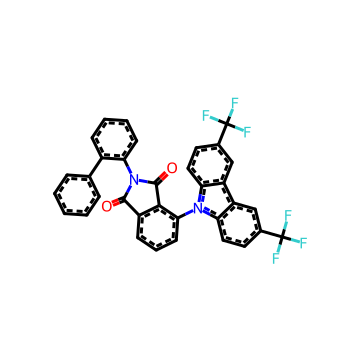 O=C1c2cccc(-n3c4ccc(C(F)(F)F)cc4c4cc(C(F)(F)F)ccc43)c2C(=O)N1c1ccccc1-c1ccccc1